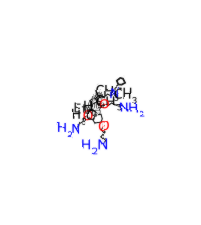 CC[C@@H](OCCCCN)C1[C@@H]2CC[C@H]([C@H](C)CCCN(C)Cc3ccccc3)C2(C)[C@@H](OCCCCN)C[C@@H]1[C@]1(C)CC[C@H](OCCCCN)CC1